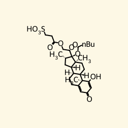 CCCCC(=O)O[C@]1(C(=O)COC(=O)CCS(=O)(=O)O)[C@@H](C)C[C@H]2[C@@H]3CCC4=CC(=O)C=C(O)[C@]4(C)[C@H]3CC[C@@]21C